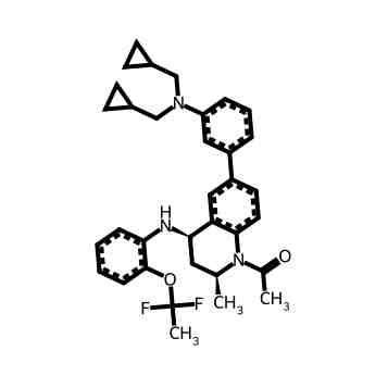 CC(=O)N1c2ccc(-c3cccc(N(CC4CC4)CC4CC4)c3)cc2[C@H](Nc2ccccc2OC(C)(F)F)C[C@@H]1C